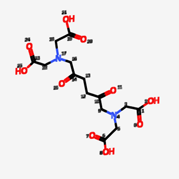 O=C(O)CN(CC(=O)O)CC(=O)CCC(=O)CN(CC(=O)O)CC(=O)O